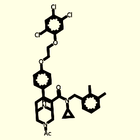 CC(=O)N1CC2CC(c3ccc(OCCOc4cc(Cl)c(Cl)cc4Cl)cc3)=C(C(=O)N(Cc3cccc(C)c3C)C3CC3)C(C1)N2